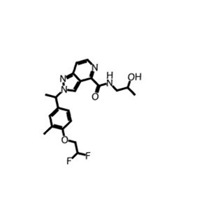 Cc1cc(C(C)n2cc3c(C(=O)NCC(C)O)nccc3n2)ccc1OCC(F)F